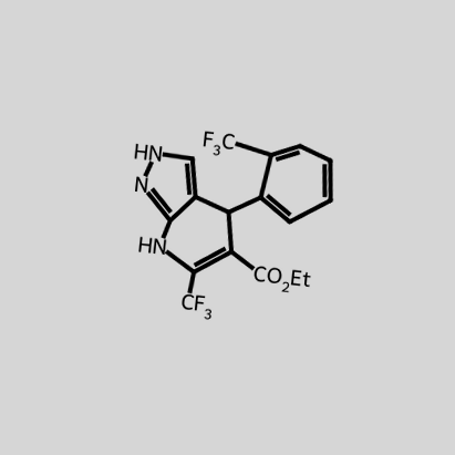 CCOC(=O)C1=C(C(F)(F)F)Nc2n[nH]cc2C1c1ccccc1C(F)(F)F